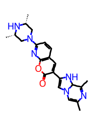 CC1=CN2C=C(c3cc4ccc(N5C[C@@H](C)N[C@@H](C)C5)nc4oc3=O)NC2C(C)=N1